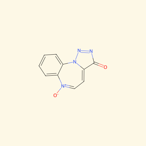 O=c1nnn2c3ccccc3[n+]([O-])ccc1-2